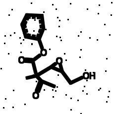 CC(=O)C(C)(C(=O)Oc1ccccc1)C1OC1CO